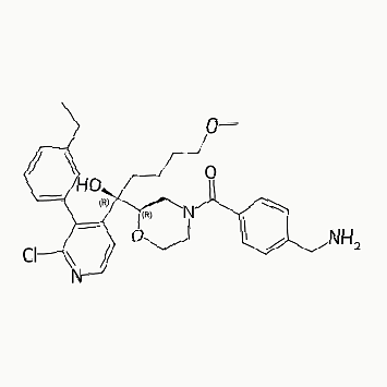 CCc1cccc(-c2c([C@](O)(CCCCOC)[C@H]3CN(C(=O)c4ccc(CN)cc4)CCO3)ccnc2Cl)c1